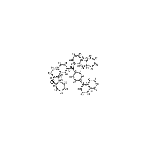 c1ccc2c(-c3ccc(N(c4ccc5ccc6oc7ccccc7c6c5c4)c4cccc5c4sc4ccccc45)cc3)cccc2c1